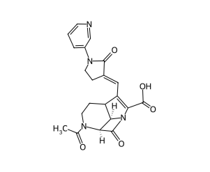 CC(=O)N1CCC2C(/C=C3\CCN(c4cccnc4)C3=O)=C(C(=O)O)N3C(=O)[C@@H]1[C@@H]23